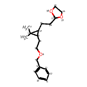 CC1(C)C(CCOCc2ccccc2)C1CCC1OCCO1